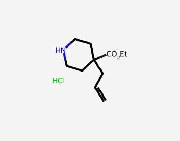 C=CCC1(C(=O)OCC)CCNCC1.Cl